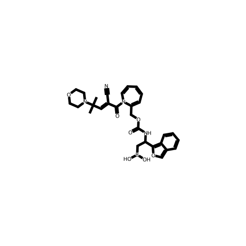 CC(C)(C=C(C#N)C(=O)N1C=CC=CC=C1COC(=O)NC(CB(O)O)c1occ2ccccc12)N1CCOCC1